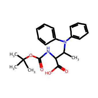 CC(C(NC(=O)OC(C)(C)C)C(=O)O)N(c1ccccc1)c1ccccc1